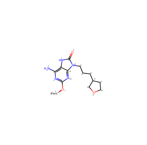 CCC[C@H](C)Oc1nc(N)c2[nH]c(=O)n(CCCC3CCOC3)c2n1